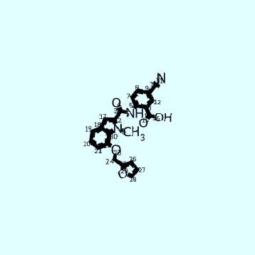 Cn1c(C(=O)Nc2ccc(C#N)cc2C(=O)O)cc2cccc(OCc3ccco3)c21